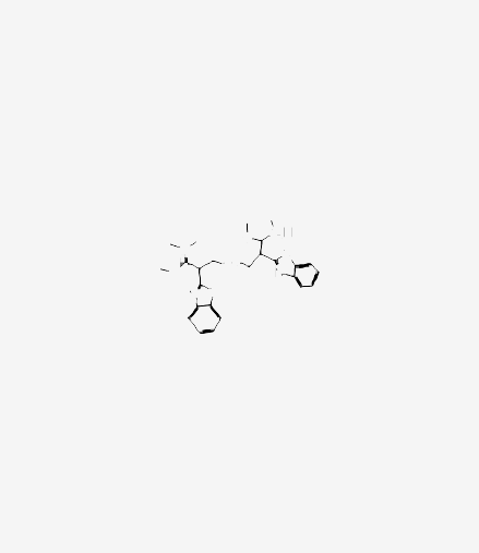 COC(C(CSSCC(c1nc2ccccc2s1)C(OC)[SiH](C)C)c1nc2ccccc2s1)[SiH](C)C